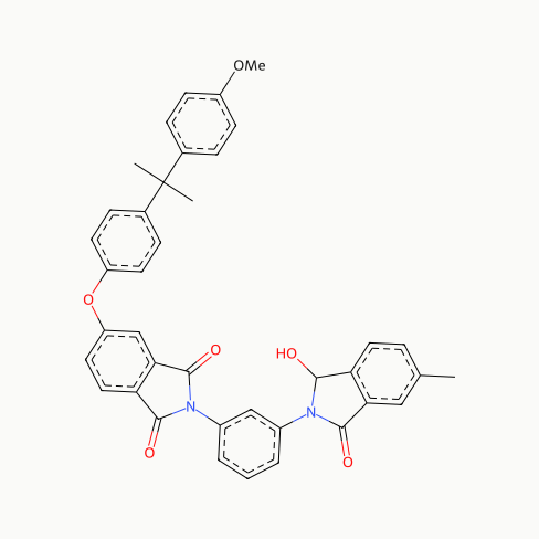 COc1ccc(C(C)(C)c2ccc(Oc3ccc4c(c3)C(=O)N(c3cccc(N5C(=O)c6cc(C)ccc6C5O)c3)C4=O)cc2)cc1